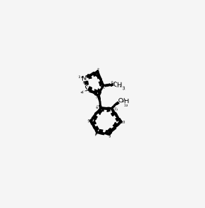 Cc1cnsc1-c1ccccc1O